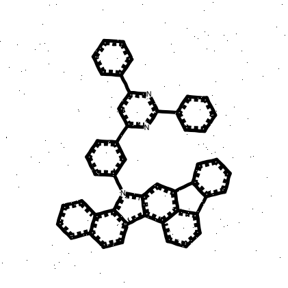 c1ccc(-c2cc(-c3cccc(-n4c5cc6c7c(cccc7c5c5ccc7ccccc7c54)-c4ccccc4-6)c3)nc(-c3ccccc3)n2)cc1